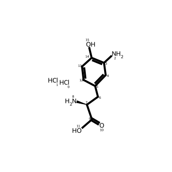 Cl.Cl.Nc1cc(C[C@H](N)C(=O)O)ccc1O